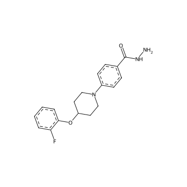 NNC(=O)c1ccc(N2CCC(Oc3ccccc3F)CC2)cc1